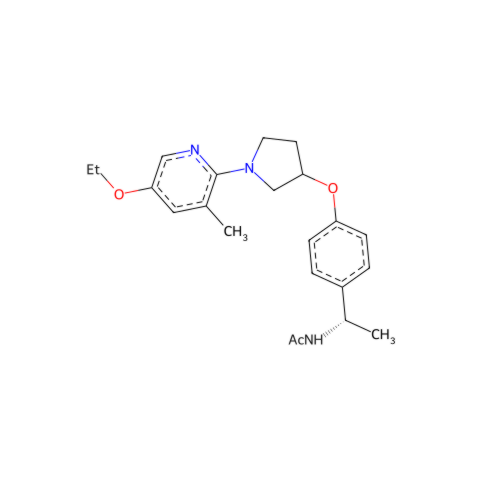 CCOc1cnc(N2CCC(Oc3ccc([C@H](C)NC(C)=O)cc3)C2)c(C)c1